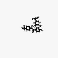 CN(c1cc(C(=O)Nc2ccc(C(C)(C)C)cc2)ccc1Cl)c1ncc(C(=O)O)cc1Cl